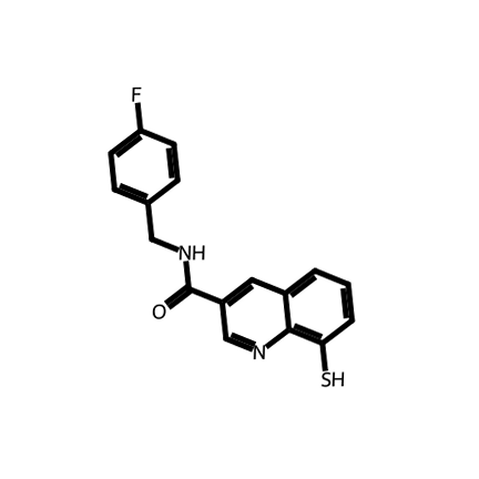 O=C(NCc1ccc(F)cc1)c1cnc2c(S)cccc2c1